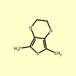 Cc1sc(C)c2c1OCCO2